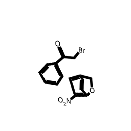 O=C(CBr)c1ccccc1.O=[N+]([O-])c1cc2ccc1OC2